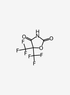 O=C1NC(=O)C(C(F)(F)F)(C(F)(F)F)O1